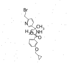 CC(C)(NS(=O)(=O)c1cccc(OCC2CC2)c1)c1ccc(CCBr)nc1